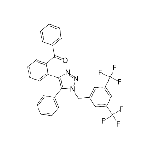 O=C(c1ccccc1)c1ccccc1-c1nnn(Cc2cc(C(F)(F)F)cc(C(F)(F)F)c2)c1-c1ccccc1